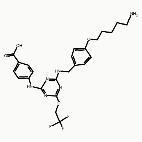 NCCCCCOc1ccc(CNc2nc(Nc3ccc(C(=O)O)cc3)nc(OCC(F)(F)F)n2)cc1